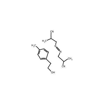 CC(C#N)CN=NCC(C)C#N.Cc1ccc(CCO)cc1